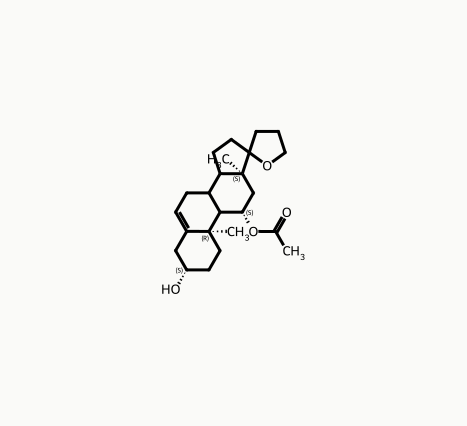 CC(=O)O[C@H]1C[C@@]2(C)C(CCC23CCCO3)C2CC=C3C[C@@H](O)CC[C@]3(C)C21